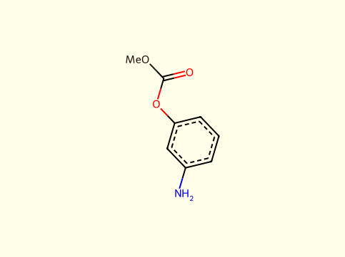 [CH2]OC(=O)Oc1cccc(N)c1